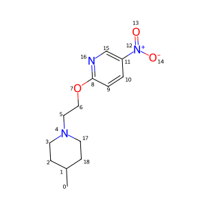 CC1CCN(CCOc2ccc([N+](=O)[O-])cn2)CC1